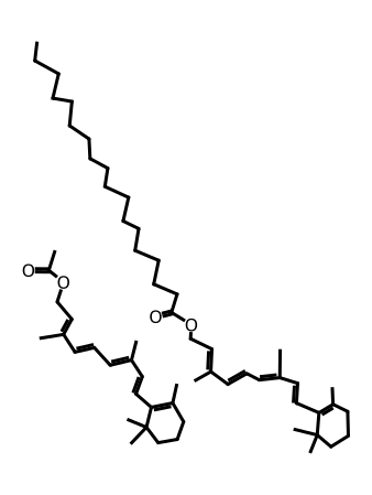 CC(=O)OCC=C(C)C=CC=C(C)C=CC1=C(C)CCCC1(C)C.CCCCCCCCCCCCCCCCCC(=O)OCC=C(C)C=CC=C(C)C=CC1=C(C)CCCC1(C)C